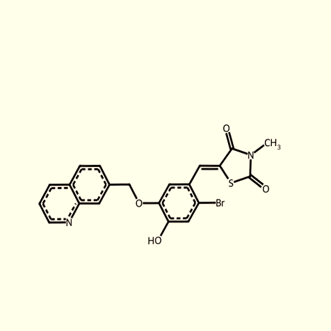 CN1C(=O)S/C(=C\c2cc(OCc3ccc4cccnc4c3)c(O)cc2Br)C1=O